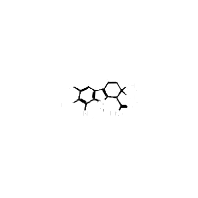 Bc1c(Cl)cc2c3c([nH]c2c1B)C(C(N)=O)C(B)(B)CC3